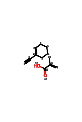 C#CC1=CCCCC1.C=C(C)C(=O)O